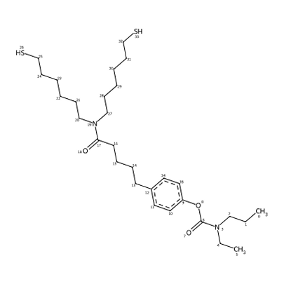 CCCN(CC)C(=O)Oc1ccc(CCCCC(=O)N(CCCCCCS)CCCCCCS)cc1